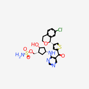 NS(=O)(=O)OC[C@H]1C[C@@H](Nc2ncncc2C(=O)c2cc([C@@H]3OCCc4ccc(Cl)cc43)cs2)C[C@@H]1O